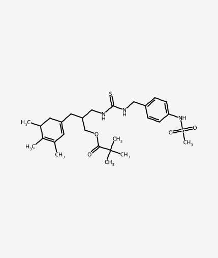 CC1=C(C)C(C)CC(CC(CNC(=S)NCc2ccc(NS(C)(=O)=O)cc2)COC(=O)C(C)(C)C)=C1